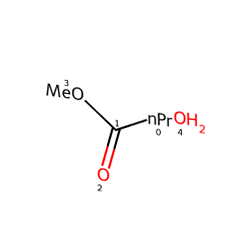 CCCC(=O)OC.O